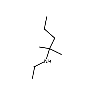 C[CH]NC(C)(C)CCC